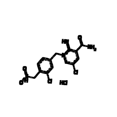 Cl.N=c1c(C(N)=O)cc(Cl)cn1Cc1ccc(C[SH](=O)=O)c(Cl)c1